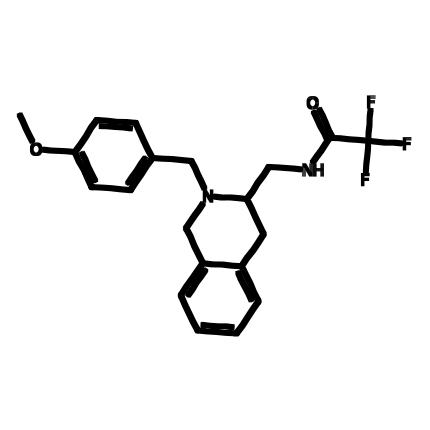 COc1ccc(CN2Cc3ccccc3CC2CNC(=O)C(F)(F)F)cc1